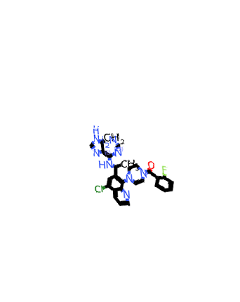 C=c1[nH]cn/c1=C(/N=C\N)NC(C)c1cc(Cl)c2cccnc2c1N1CCN(C(=O)C2C=CC=CC2F)CC1